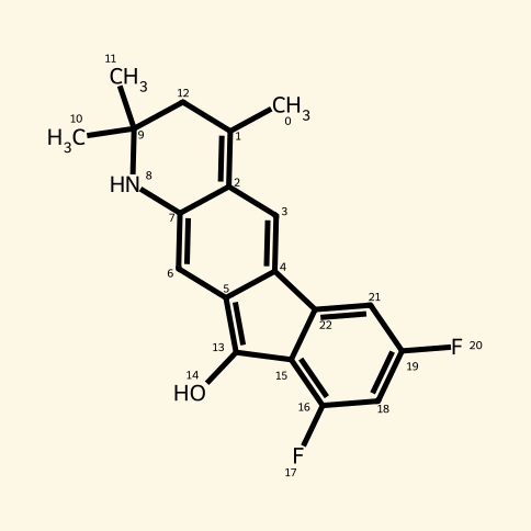 CC1=c2cc3c(cc2NC(C)(C)C1)=C(O)c1c(F)cc(F)cc1-3